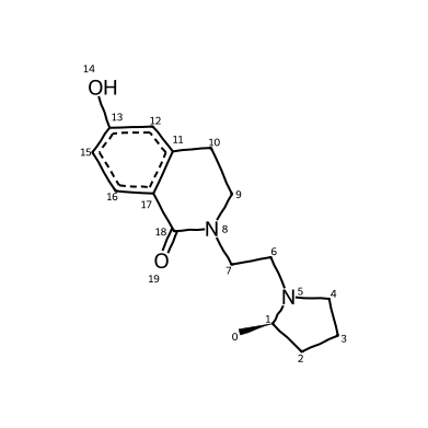 C[C@@H]1CCCN1CCN1CCc2cc(O)ccc2C1=O